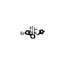 Brc1ccc2[nH]c3c(c2c1)CCCC3NCC1=CC=CC1